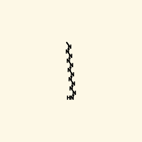 CN=NN=NN=NN=NN=NN=N